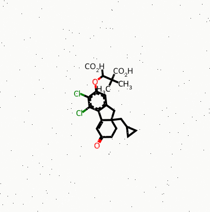 CC(C)(C(=O)O)C(Oc1cc2c(c(Cl)c1Cl)C1=CC(=O)CCC1(CC1CC1)C2)C(=O)O